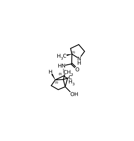 CC1(C)[C@@H]2CCC1(O)C[C@H]2NC(=O)[C@]1(C)CCCN1